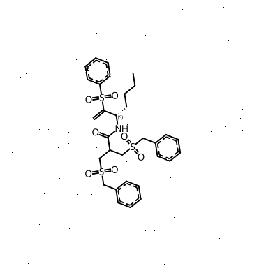 C=C([C@H](CCCC)NC(=O)C(CS(=O)(=O)Cc1ccccc1)CS(=O)(=O)Cc1ccccc1)S(=O)(=O)c1ccccc1